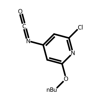 CCCCOc1cc(N=C=O)cc(Cl)n1